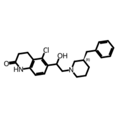 O=C1CCc2c(ccc(C(O)CN3CCC[C@H](Cc4ccccc4)C3)c2Cl)N1